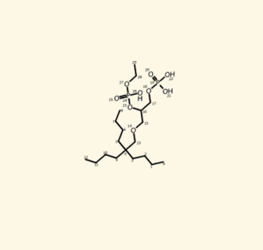 CCCCC(CCCC)(CCCC)COCC(COP(=O)(O)O)OP(=O)(O)OCC